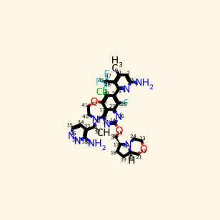 Cc1cc(N)nc(-c2c(Cl)c3c4c(nc(OC[C@@H]5CC[C@H]6COCCN65)nc4c2F)N([C@H](C)c2ccnnc2N)CCO3)c1C(F)(F)F